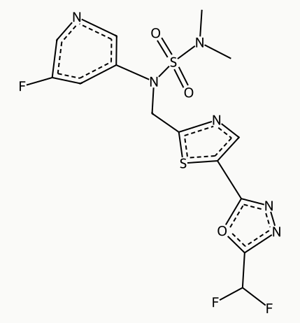 CN(C)S(=O)(=O)N(Cc1ncc(-c2nnc(C(F)F)o2)s1)c1cncc(F)c1